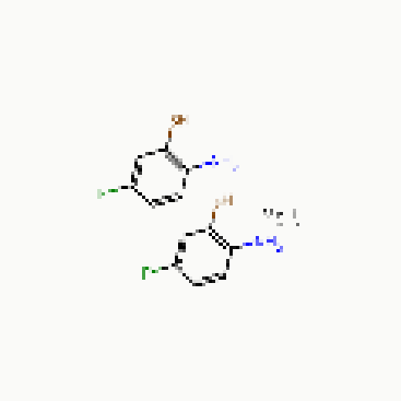 Nc1ccc(F)cc1S.Nc1ccc(F)cc1S.[MgH2]